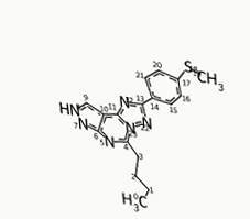 CCCCc1nc2n[nH]cc2c2nc(-c3ccc(SC)cc3)nn12